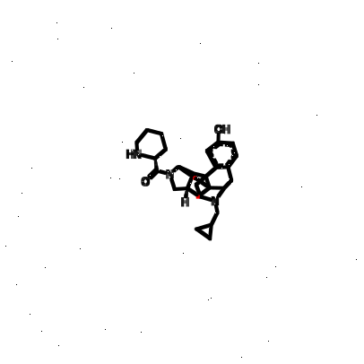 O=C([C@@H]1CCCCN1)N1C[C@H]2CC34CCC1C2C31CCN(CC2CC2)C4Cc2ccc(O)cc21